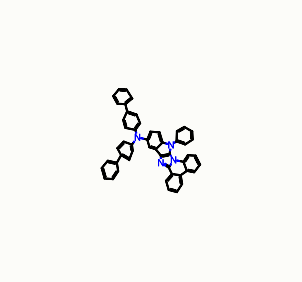 c1ccc(-c2ccc(N(c3ccc(-c4ccccc4)cc3)c3ccc4c(c3)c3nc5c6ccccc6c6ccccc6n5c3n4-c3ccccc3)cc2)cc1